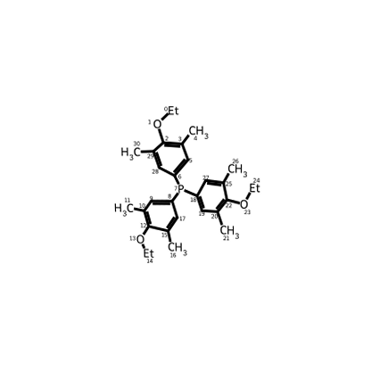 CCOc1c(C)cc(P(c2cc(C)c(OCC)c(C)c2)c2cc(C)c(OCC)c(C)c2)cc1C